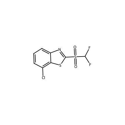 O=S(=O)(c1nc2cccc(Cl)c2s1)C(F)F